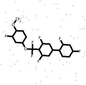 FC1CCC(C2CC(F)C(C(F)(F)OC3CCC(OC(F)(F)F)C(F)C3)C(F)C2)C(F)C1